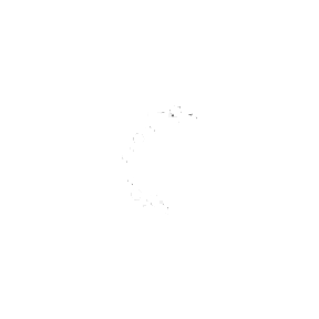 CC(C)(CC1CCCN1C(=O)c1ccc(N2CCN(CC3CCN(c4ccc5c(c4)C(=O)N(C4CCC(=O)NC4=O)C5=O)CC3)CC2)cc1)Oc1ccc(C#N)c(Cl)c1